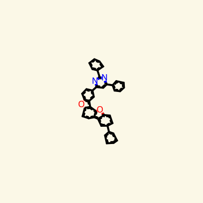 c1ccc(-c2ccc3oc4c(ccc5oc6ccc(-c7cc(-c8ccccc8)nc(-c8ccccc8)n7)cc6c54)c3c2)cc1